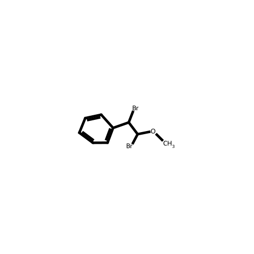 COC(Br)C(Br)c1ccccc1